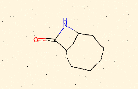 O=C1NC2CCCCCC12